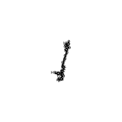 O=C1CCC(N2C(=O)c3ccc(OCCOCCOCCOCCN4CCN(Cc5ccc6c(c5)nc(NC(=O)c5cccc(C(F)(F)F)c5)n6-c5ccc(CO)cc5)CC4)cc3C2=O)C(=O)N1